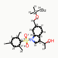 Cc1cc(C)c(S(=O)(=O)n2cc(C(C)O)c3ccc(CO[Si](C)(C)C(C)(C)C)cc32)c(C)c1